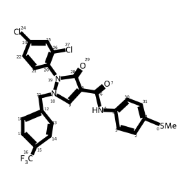 CSc1ccc(NC(=O)c2cn(Cc3ccc(C(F)(F)F)cc3)n(-c3ccc(Cl)cc3Cl)c2=O)cc1